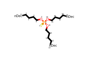 CCCCCCCCCCCCCCOP(=S)(OCCCCCCCCCCCCCC)OCCCCCCCCCCCCCC